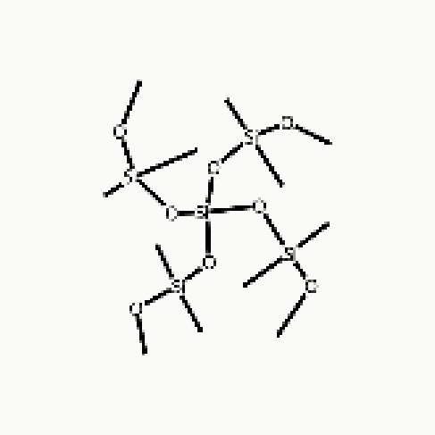 CO[Si](C)(C)O[Si](O[Si](C)(C)OC)(O[Si](C)(C)OC)O[Si](C)(C)OC